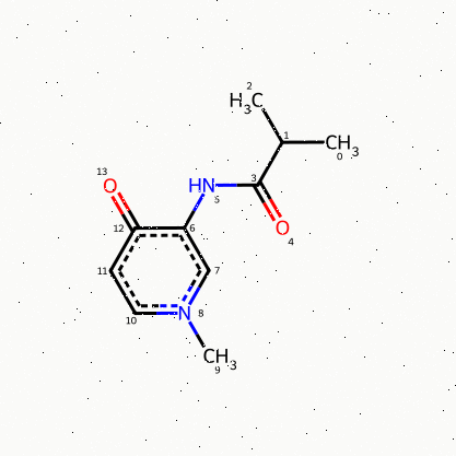 CC(C)C(=O)Nc1cn(C)ccc1=O